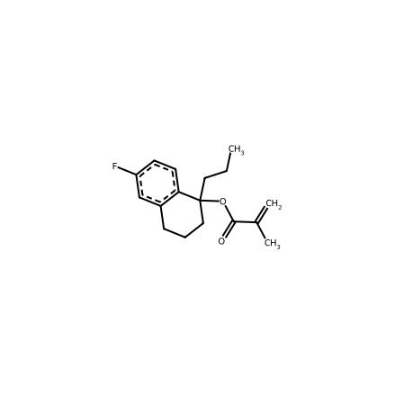 C=C(C)C(=O)OC1(CCC)CCCc2cc(F)ccc21